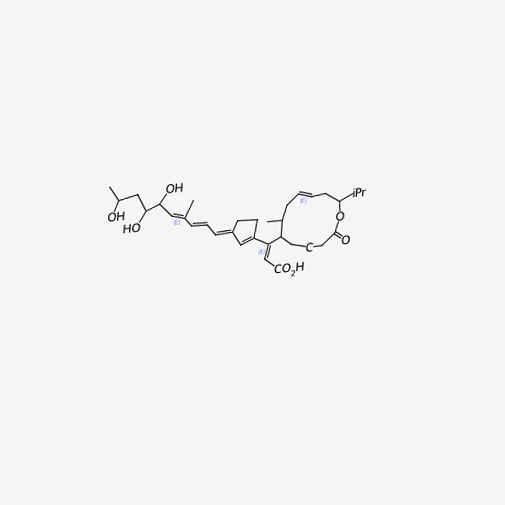 C/C(C=CC=C1C=C(/C(=C/C(=O)O)C2CCCC(=O)OC(C(C)C)C/C=C/CC2C)CC1)=C\C(O)C(O)CC(C)O